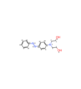 OCCN(CCO)c1ccc(N=Nc2ccccc2)cc1